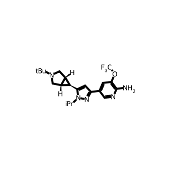 CC(C)n1nc(-c2cnc(N)c(OC(F)(F)F)c2)cc1[C@H]1[C@@H]2CN(C(C)(C)C)C[C@@H]21